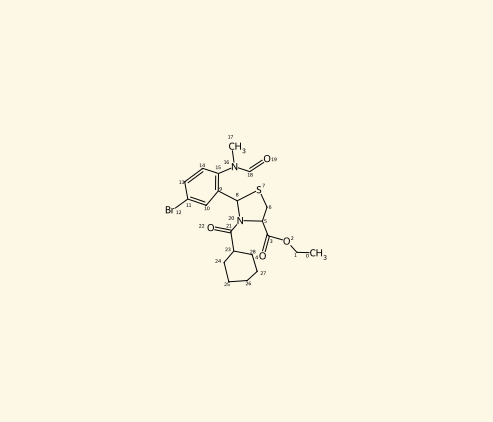 CCOC(=O)C1CSC(c2cc(Br)ccc2N(C)C=O)N1C(=O)C1CCCCC1